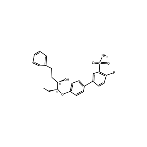 CC[C@H](Oc1ccc(-c2ccc(F)c(S(N)(=O)=O)c2)cc1)[C@H](O)CCc1cccnc1